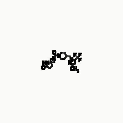 Cc1cc(C(F)(F)F)n(CC2CCN(C(=O)N3CC4(CCC(=O)N4)C3)CC2)n1